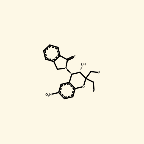 O=C1c2ccccc2CN1[C@@H]1c2cc([N+](=O)[O-])ccc2OC(CF)(CF)[C@H]1O